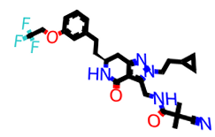 CC(C)(C#N)C(=O)NCc1c2c(nn1CCC1CC1)C[C@H](CCc1cccc(OCC(F)(F)F)c1)NC2=O